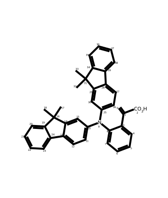 C=C(C(=O)O)c1ccccc1N(c1ccc2c(c1)C(C)(C)c1ccccc1-2)c1ccc2c(c1)C(C)(C)c1ccccc1-2